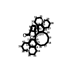 O=C1OC2(c3ccccc31)c1cc3c4c(c1CCCCCc1c2cc2c5c1CCCN5CCC2)CCCN4CCC3